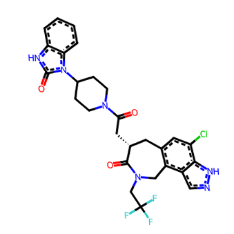 O=C(C[C@@H]1Cc2cc(Cl)c3[nH]ncc3c2CN(CC(F)(F)F)C1=O)N1CCC(n2c(=O)[nH]c3ccccc32)CC1